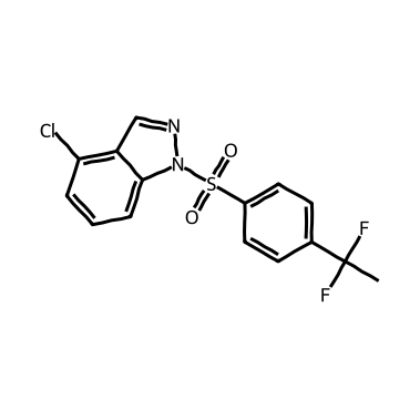 CC(F)(F)c1ccc(S(=O)(=O)n2ncc3c(Cl)cccc32)cc1